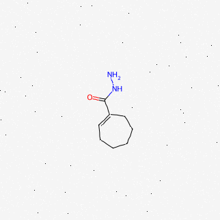 NNC(=O)C1=CCCCCC1